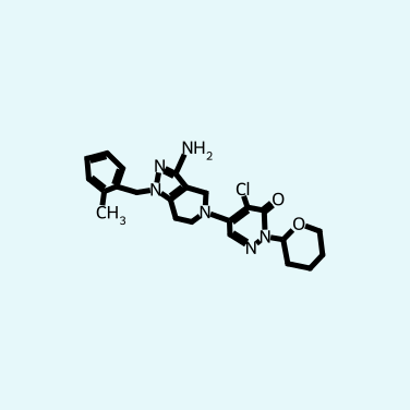 Cc1ccccc1Cn1nc(N)c2c1CCN(c1cnn(C3CCCCO3)c(=O)c1Cl)C2